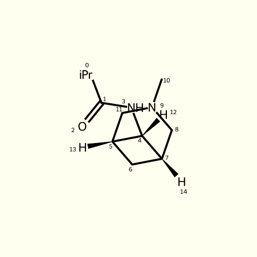 CC(C)C(=O)N[C@H]1[C@@H]2C[C@H]1CN(C)C2